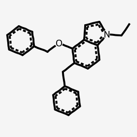 CCn1ccc2c(OCc3ccccc3)c(Cc3ccccc3)ccc21